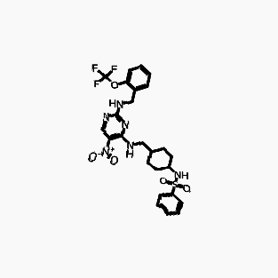 O=[N+]([O-])c1cnc(NCc2ccccc2OC(F)(F)F)nc1NCC1CCC(NS(=O)(=O)c2ccccc2)CC1